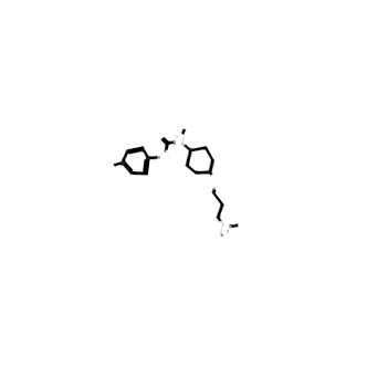 CCCCCN(C)CCCOC1CCC(N(C)C(=O)Oc2ccc(F)cc2)CC1